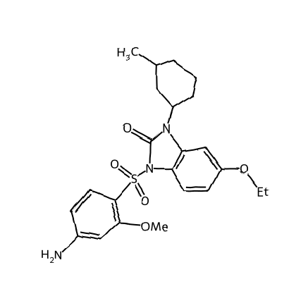 CCOc1ccc2c(c1)n(C1CCCC(C)C1)c(=O)n2S(=O)(=O)c1ccc(N)cc1OC